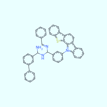 NC(NC(/N=C/c1ccccc1)c1cccc(-n2c3ccccc3c3ccc4c5ccccc5sc4c32)c1)c1cccc(-c2ccccc2)c1